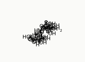 CC(C)C[C@H](NC(=O)[C@@H](NC(=O)[C@@H](NC(=O)CNC(=O)[C@H](CCC(N)=O)NC(=O)CNC(=O)[C@H](Cc1c[nH]c2ccccc12)NC(=O)[C@H](Cc1ccc(O)cc1)NC(=O)[C@H](CC(=O)O)NC(=O)[C@H](CC(C)C)NC(=O)[C@@H](N)CS)[C@@H](C)O)[C@@H](C)O)C(=O)N[C@H](C(=O)N[C@H](C(=O)O)C(C)C)[C@@H](C)O